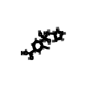 Cc1cc(C(=O)O)ccc1S(=O)(=O)Nc1nncs1